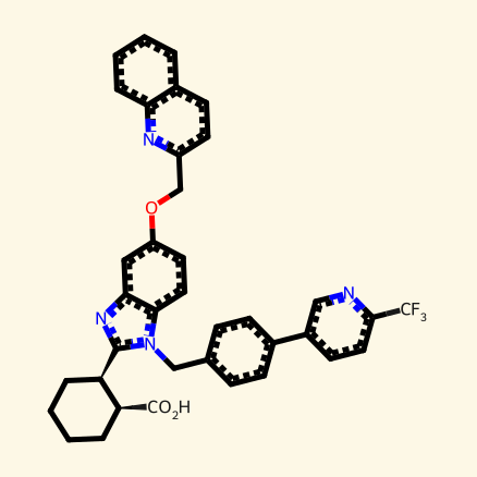 O=C(O)[C@H]1CCCC[C@H]1c1nc2cc(OCc3ccc4ccccc4n3)ccc2n1Cc1ccc(-c2ccc(C(F)(F)F)nc2)cc1